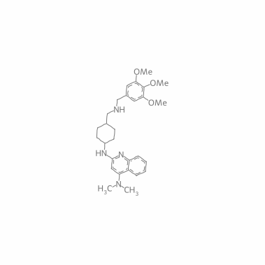 COc1cc(CNCC2CCC(Nc3cc(N(C)C)c4ccccc4n3)CC2)cc(OC)c1OC